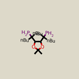 CCCCC(P)(CCCC)C1OC(C)(C)OC1C(P)(CCCC)CCCC